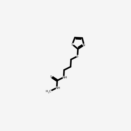 CNC(=S)NCCCSc1nccs1